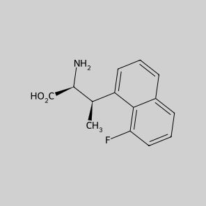 C[C@H](c1cccc2cccc(F)c12)[C@H](N)C(=O)O